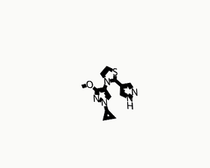 COc1nn(C2CC2)cc1N1C=CSC1c1cn[nH]c1